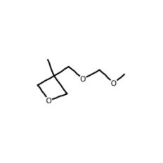 COCOCC1(C)COC1